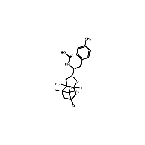 Cc1ccc(C[C@H](NC(=O)O)B2O[C@@H]3C[C@@H]4C[C@@H](C4(C)C)[C@]3(C)O2)cc1